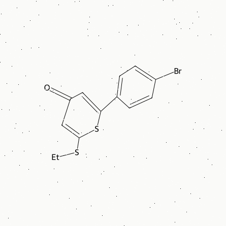 CCSc1cc(=O)cc(-c2ccc(Br)cc2)s1